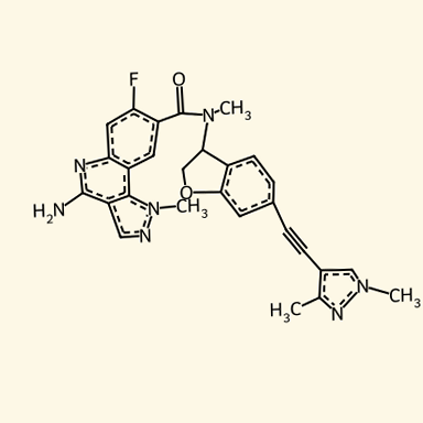 Cc1nn(C)cc1C#Cc1ccc2c(c1)OCC2N(C)C(=O)c1cc2c(cc1F)nc(N)c1cnn(C)c12